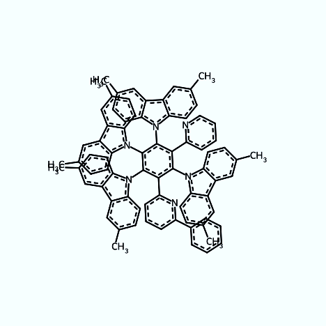 Cc1ccc2c(c1)c1cc(C)ccc1n2-c1c(-c2ccccn2)c(-n2c3ccc(C)cc3c3cc(C)ccc32)c(-n2c3ccc(C)cc3c3cc(C)ccc32)c(-n2c3ccc(C)cc3c3cc(C)ccc32)c1-c1cccc(-c2ccccc2)n1